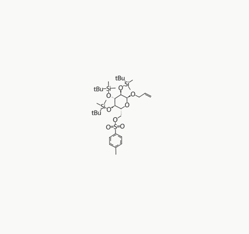 C=CCO[C@H]1O[C@H](COS(=O)(=O)c2ccc(C)cc2)[C@@H](O[Si](C)(C)C(C)(C)C)[C@H](O[Si](C)(C)C(C)(C)C)[C@H]1O[Si](C)(C)C(C)(C)C